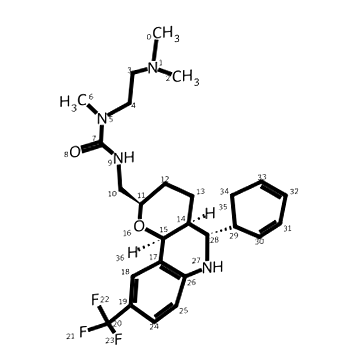 CN(C)CCN(C)C(=O)NC[C@H]1CC[C@@H]2[C@H](O1)c1cc(C(F)(F)F)ccc1N[C@H]2C1C=CC=CC1